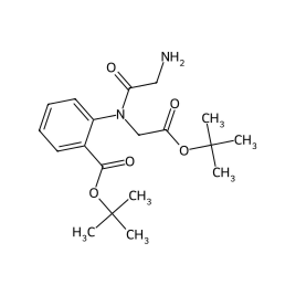 CC(C)(C)OC(=O)CN(C(=O)CN)c1ccccc1C(=O)OC(C)(C)C